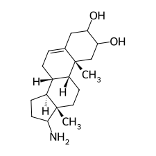 C[C@]12CC(O)C(O)CC1=CC[C@@H]1[C@H]2CC[C@]2(C)C(N)CC[C@@H]12